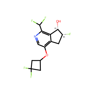 O[C@H]1c2c(C(F)F)ncc(OC3CC(F)(F)C3)c2C[C@H]1F